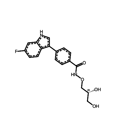 O=C(NOC[C@H](O)CO)c1ccc(-c2c[nH]c3cc(F)ccc23)cc1